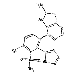 NC1Nc2c(cccc2-c2ccc(C(F)(F)F)c(S(N)(=O)=O)c2-c2nnn[nH]2)S1